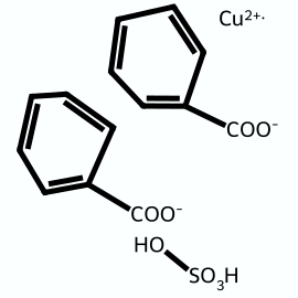 O=C([O-])c1ccccc1.O=C([O-])c1ccccc1.O=S(=O)(O)O.[Cu+2]